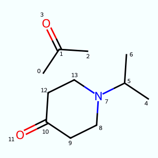 CC(C)=O.CC(C)N1CCC(=O)CC1